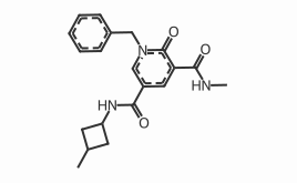 CNC(=O)c1cc(C(=O)NC2CC(C)C2)cn(Cc2ccccc2)c1=O